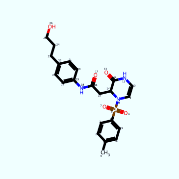 Cc1ccc(S(=O)(=O)N2C=CNC(=O)C2CC(=O)Nc2ccc(CCCO)cc2)cc1